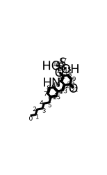 CCCCCCc1ccc2[nH]c3c(OP(O)(O)=S)ccc(=O)c-3cc2c1